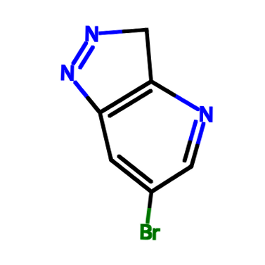 Brc1cnc2c(c1)N=NC2